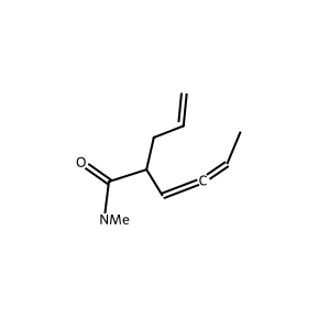 C=CCC(C=C=CC)C(=O)NC